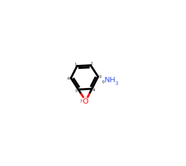 N.c1ccc2c(c1)O2